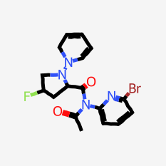 CC(=O)N(C(=O)C1CC(F)CN1N1C=CC=CC1)c1cccc(Br)n1